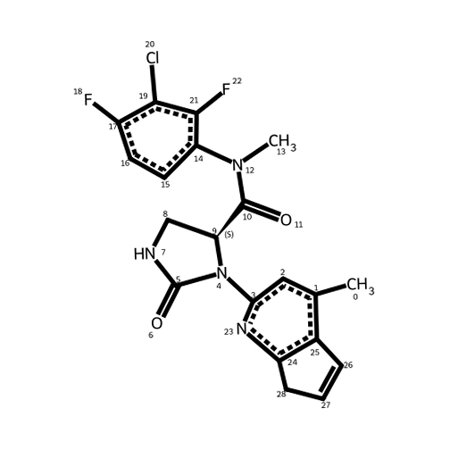 Cc1cc(N2C(=O)NC[C@H]2C(=O)N(C)c2ccc(F)c(Cl)c2F)nc2c1C=CC2